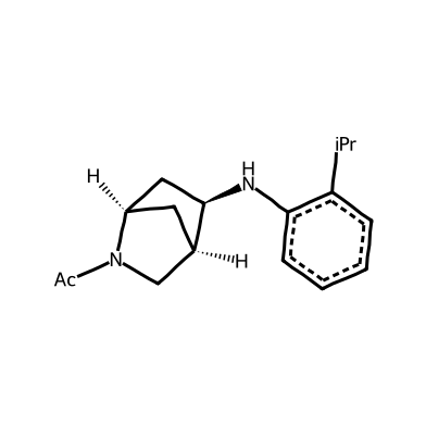 CC(=O)N1C[C@H]2C[C@@H]1C[C@H]2Nc1ccccc1C(C)C